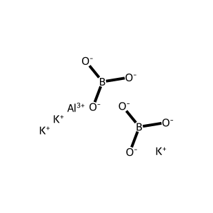 [Al+3].[K+].[K+].[K+].[O-]B([O-])[O-].[O-]B([O-])[O-]